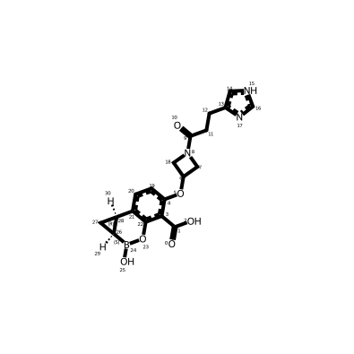 O=C(O)c1c(OC2CN(C(=O)CCc3c[nH]cn3)C2)ccc2c1OB(O)[C@H]1C[C@@H]21